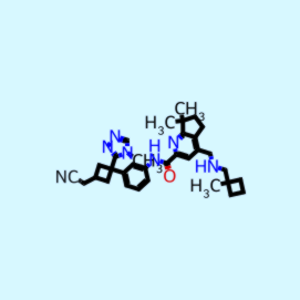 Cn1cnnc1C1(c2cccc(NC(=O)c3cc(CNCC4(C)CCC4)c4c(n3)C(C)(C)CC4)c2)CC(CC#N)C1